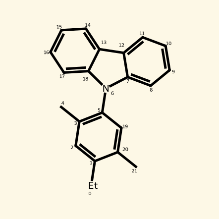 CCc1cc(C)c(-n2c3ccccc3c3ccccc32)cc1C